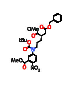 COC(=O)c1cc(N(CCC[C@H](CC(=O)OCc2ccccc2)C(=O)OC)C(=O)OC(C)(C)C)ccc1[N+](=O)[O-]